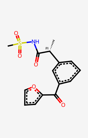 C[C@@H](C(=O)NS(C)(=O)=O)c1cccc(C(=O)c2ccco2)c1